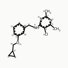 Cc1nc(C)c(Cl)c(NCc2cc[c]c(OCC3CC3)c2)n1